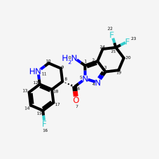 Nc1c2c(nn1C(=O)[C@H]1CCNc3ccc(F)cc31)CCC(F)(F)C2